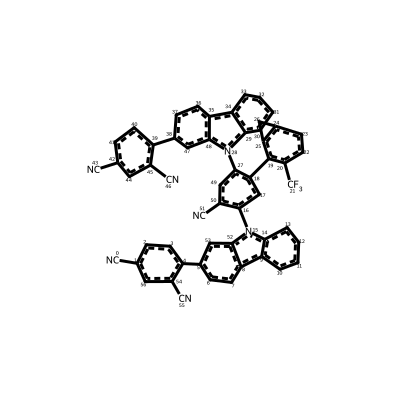 N#Cc1ccc(-c2ccc3c4ccccc4n(-c4cc(-c5c(C(F)(F)F)ccc6c5C6)c(-n5c6ccccc6c6ccc(-c7ccc(C#N)cc7C#N)cc65)cc4C#N)c3c2)c(C#N)c1